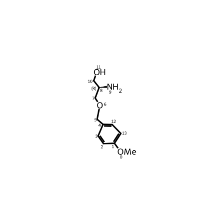 COc1ccc(COC[C@H](N)CO)cc1